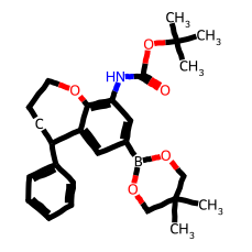 CC1(C)COB(c2cc(NC(=O)OC(C)(C)C)c3c(c2)C(c2ccccc2)CCCO3)OC1